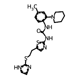 Cc1ccc(NC(=O)Nc2ncc(CCSc3ncc[nH]3)s2)c(N2CCCCC2)c1